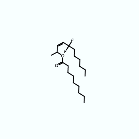 CCCCCCCCC(=O)OC(C)/C=C\C(F)(F)CCCCCC